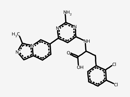 Cc1ncc2ccc(-c3cc(NC(Cc4cccc(Cl)c4Cl)C(=O)O)nc(N)n3)cn12